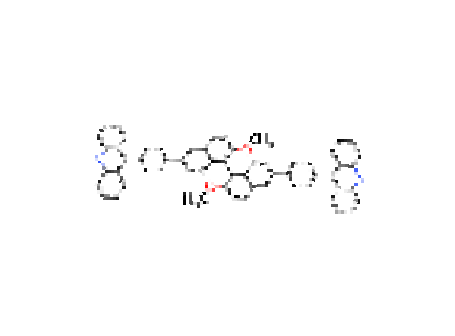 COc1ccc2cc(-c3ccc(-c4c5ccccc5nc5ccccc45)cc3)ccc2c1-c1c(OC)ccc2cc(-c3ccc(-c4c5ccccc5nc5ccccc45)cc3)ccc12